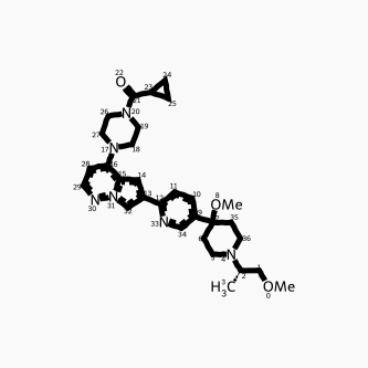 COC[C@H](C)N1CCC(OC)(c2ccc(-c3cc4c(N5CCN(C(=O)C6CC6)CC5)ccnn4c3)nc2)CC1